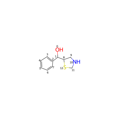 OC(c1ccccc1)C1CNCS1